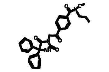 CCCN(CC)C(=O)c1ccc(C(=O)CN2C(=O)NC(c3ccccc3)(c3ccccc3)C2=O)cc1